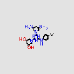 CC(=O)c1ccc(Nc2nc(N3C[C@H](N)C[C@H](N)C3)nc(N3C[C@H](O)C[C@H](O)C3)n2)cc1